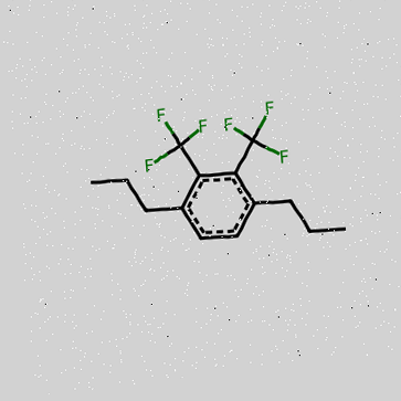 CCCc1ccc(CCC)c(C(F)(F)F)c1C(F)(F)F